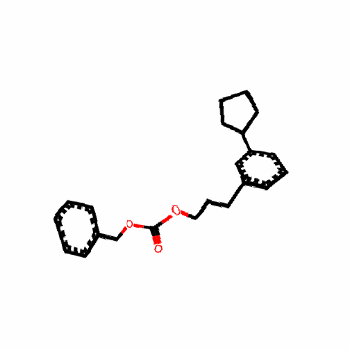 O=C(OCCCc1cccc(C2CCCC2)c1)OCc1ccccc1